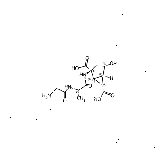 C[C@H](NC(=O)CN)C(=O)N[C@@]1(C(=O)O)C[C@H](O)[C@H]2[C@H](C(=O)O)[C@H]21